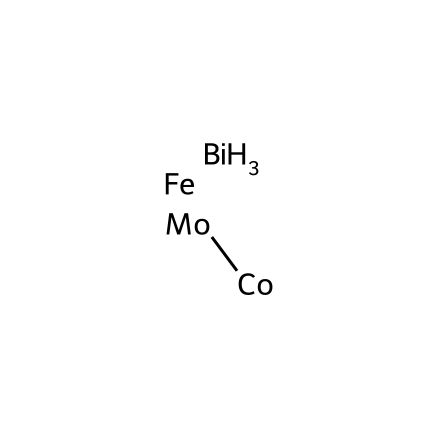 [BiH3].[Co][Mo].[Fe]